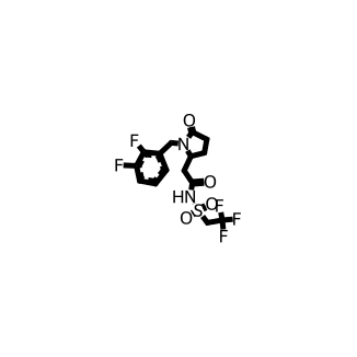 O=C(CC1CCC(=O)N1Cc1cccc(F)c1F)NS(=O)(=O)CC(F)(F)F